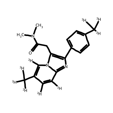 [2H]c1c(C([2H])([2H])[2H])c([2H])n2c(CC(=O)N(C)C)c(-c3ccc(C([2H])([2H])[2H])cc3)nc2c1[2H]